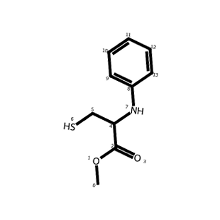 COC(=O)C(CS)Nc1ccccc1